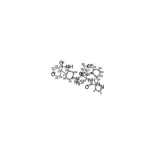 Cn1nccc1C(=O)N[C@@]([SiH3])(C(=O)Nc1ccc2c(c1)NC(=O)C21CCOCC1)[Si@H](c1ccccc1Cl)C1(C)CC1